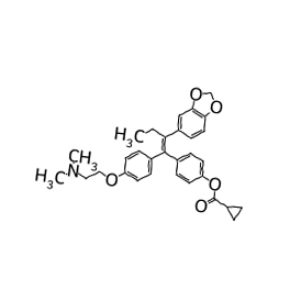 CCC(=C(c1ccc(OCCN(C)C)cc1)c1ccc(OC(=O)C2CC2)cc1)c1ccc2c(c1)OCO2